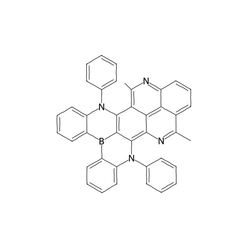 Cc1nc2c3c4c(c5c(C)nc6cccc1c6c25)N(c1ccccc1)c1ccccc1B4c1ccccc1N3c1ccccc1